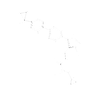 Cc1noc(-c2ccc(-c3ccc(C4(C(=O)O)CC4)cc3)cc2)c1CCC(=O)N(C)CC1CC1